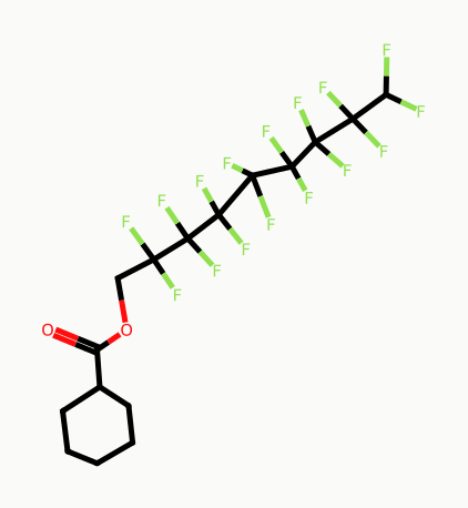 O=C(OCC(F)(F)C(F)(F)C(F)(F)C(F)(F)C(F)(F)C(F)(F)C(F)(F)C(F)F)C1CCCCC1